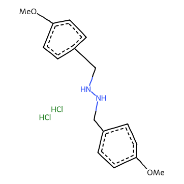 COc1ccc(CNNCc2ccc(OC)cc2)cc1.Cl.Cl